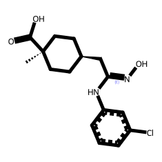 C[C@]1(C(=O)O)CC[C@@H](C/C(=N\O)Nc2cccc(Cl)c2)CC1